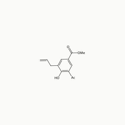 C=CCc1cc(C(=O)OC)cc(C(C)=O)c1O